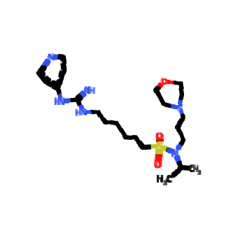 CC(C)N(CCCN1CCOCC1)S(=O)(=O)CCCCCCNC(=N)Nc1ccncc1